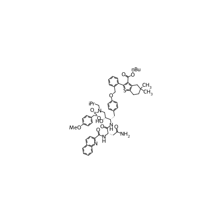 CCCCOC(=O)c1c(-c2ccccc2COc2ccc(C[C@H](NC(=O)[C@H](CC(N)=O)NC(=O)c3ccc4ccccc4n3)[C@H](O)CN(CC(C)C)S(=O)(=O)c3ccc(OC)cc3)cc2)sc2c1CC(C)(C)CC2